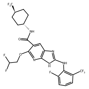 O=C(N[C@H]1CC[C@H](C(F)(F)F)CC1)c1cc2nc(Nc3c(F)cccc3C(F)(F)F)[nH]c2nc1OCC(F)F